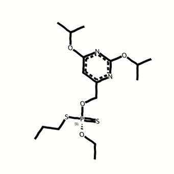 CCCS[P@@](=S)(OCC)OCc1cc(OC(C)C)nc(OC(C)C)n1